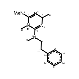 CNC1=NC(C)N=C(N(C)CCc2ccccc2)N1C